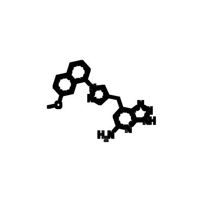 COc1ccc2cccc(-n3cc(Cc4cc(N)nc5[nH]nnc45)cn3)c2c1